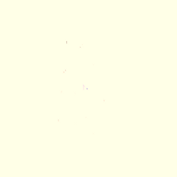 FC(F)(F)c1ccccc1Nc1cc[c]cc1